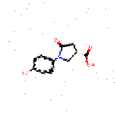 O=C(O)[C@H]1CC(=O)N(c2ccc(O)cc2)C1